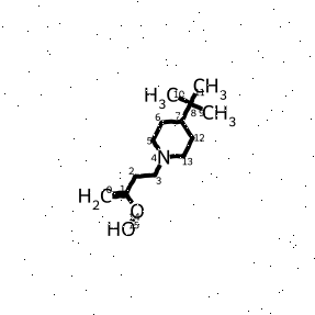 C=C(CCN1CCC(C(C)(C)C)CC1)OO